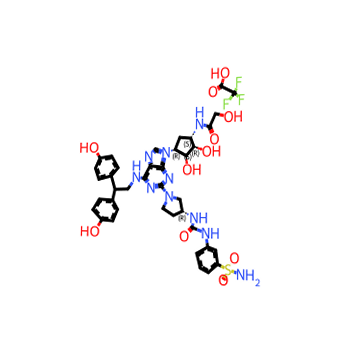 NS(=O)(=O)c1cccc(NC(=O)N[C@@H]2CCN(c3nc(NCC(c4ccc(O)cc4)c4ccc(O)cc4)c4ncn([C@@H]5C[C@H](NC(=O)CO)[C@@H](O)[C@H]5O)c4n3)C2)c1.O=C(O)C(F)(F)F